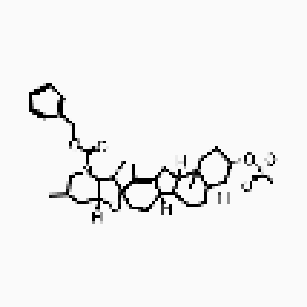 CC1=C2C[C@H]3C(CC[C@@H]4C[C@@H](OS(C)(=O)=O)CCC43C)[C@@H]2CCC12O[C@@H]1CC(C)CN(C(=O)OCc3ccccc3)C1[C@H]2C